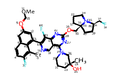 CCc1c(F)ccc2cc(OCOC)cc(-c3ncc4c(N5CCC[C@@](C)(O)C5)nc(OC[C@@]56CCCN5[C@@H](CF)CC6)nc4c3F)c12